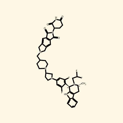 C[C@@H]1Cc2c([nH]c3ccccc23)[C@@H](c2c(F)cc(N3CCC(N4CCC(CN5Cc6cc7c(cc6C5)C(=O)N(C5CCC(=O)NC5=O)C7=O)CC4)C3)cc2F)N1CC(F)F